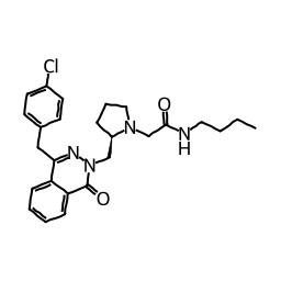 CCCCNC(=O)CN1CCC[C@@H]1Cn1nc(Cc2ccc(Cl)cc2)c2ccccc2c1=O